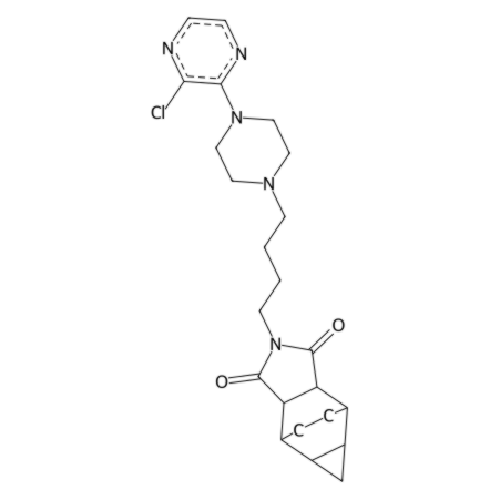 O=C1C2C3CCC(C4CC43)C2C(=O)N1CCCCN1CCN(c2nccnc2Cl)CC1